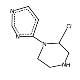 ClC1CNCCN1c1ccncn1